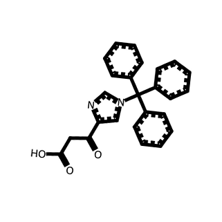 O=C(O)CC(=O)c1cn(C(c2ccccc2)(c2ccccc2)c2ccccc2)cn1